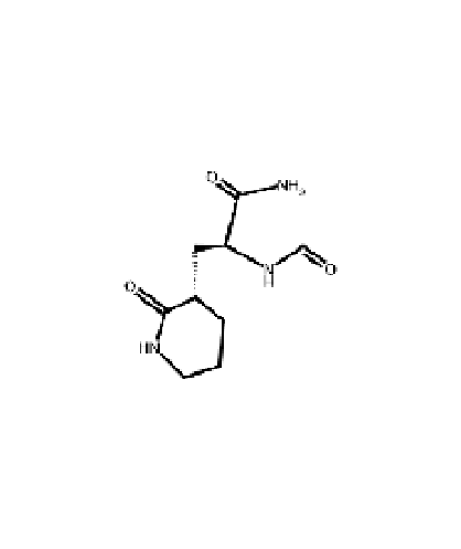 NC(=O)[C@H](C[C@@H]1CCCNC1=O)NC=O